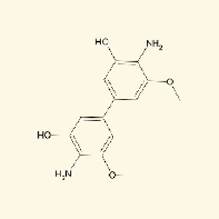 COc1cc(-c2cc(O)c(N)c(OC)c2)cc(O)c1N